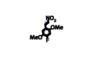 COc1cc(/C=C/[N+](=O)[O-])c(OC)cc1F